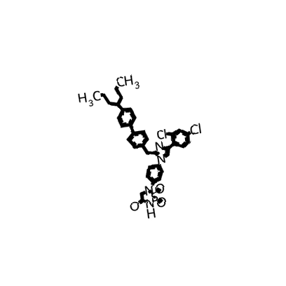 CCCC(CCC)c1ccc(-c2ccc(Cc3nc(-c4ccc(Cl)cc4Cl)cn3-c3ccc(N4CC(=O)NS4(=O)=O)cc3)cc2)cc1